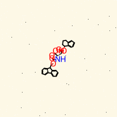 O=C(C[C@@H](NC(=O)OCC1c2ccccc2-c2ccccc21)C(=O)O)OC1CCCc2ccccc21